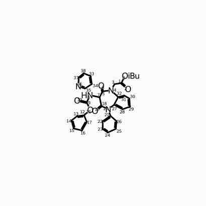 CC(C)COC(=O)CN1C(=O)C(NC(=O)Oc2ccccc2)C(=O)N(c2ccccc2)c2ccccc21.c1ccncc1